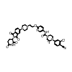 C[C@H]1CN(C(=O)Nc2ccc(OCCN3CCN(c4ccc5c(c4)C(=O)N(C4CCC(=O)NC4=O)C5=O)CC3)nc2)CCN1c1ccc(C#N)c(Cl)c1